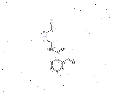 O=Cc1ccccc1C(=O)NC/C=C\CCl